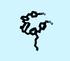 CCCCCCc1cc(Cc2ccc(Cc3ccc(Cc4ccc(N)cc4)cc3)c(C)c2)ccc1Cc1ccc(N)cc1